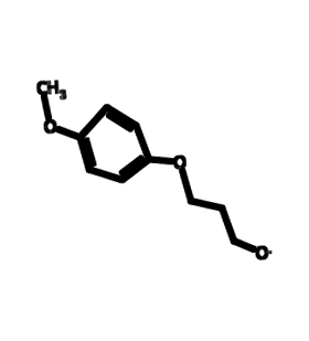 COc1ccc(OCCC[O])cc1